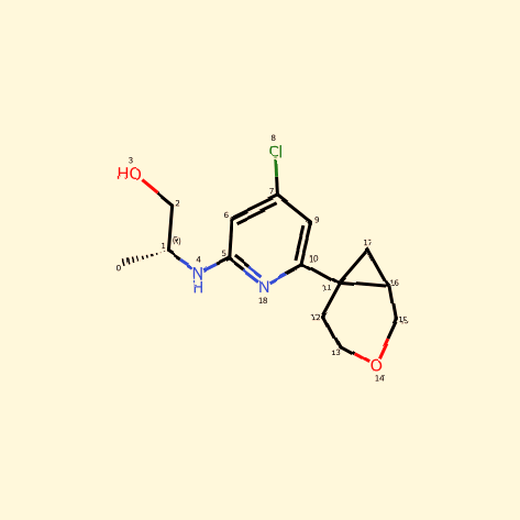 C[C@H](CO)Nc1cc(Cl)cc(C23CCOCC2C3)n1